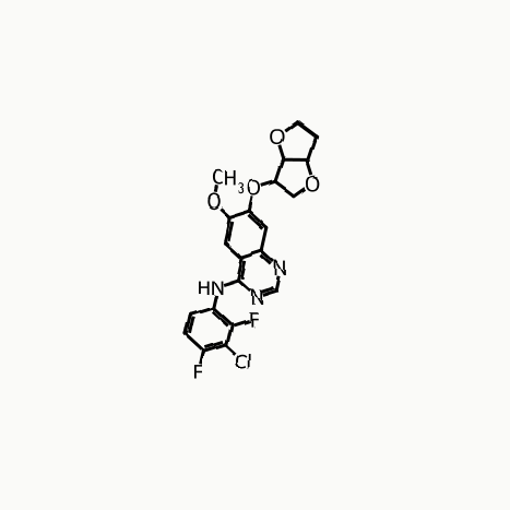 COc1cc2c(Nc3ccc(F)c(Cl)c3F)ncnc2cc1OC1COC2CCOC21